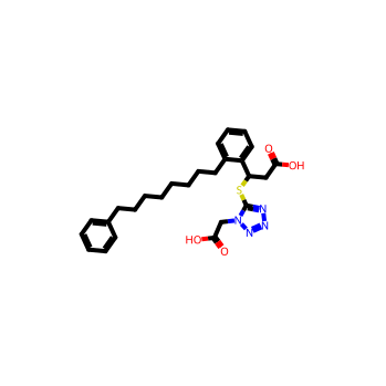 O=C(O)CC(Sc1nnnn1CC(=O)O)c1ccccc1CCCCCCCCc1ccccc1